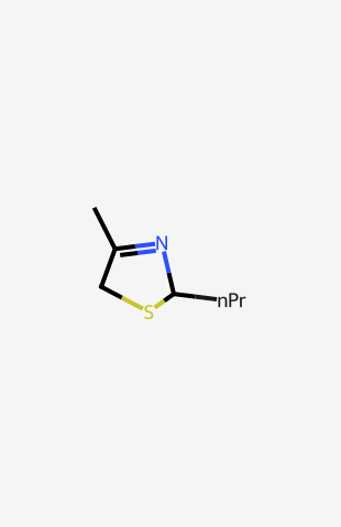 CCCC1N=C(C)CS1